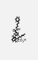 CC=CCC[C@H](C(=O)O)C1[C@H]2CC[C@H](O2)[C@H]1c1nc(C(=O)NCCCCC2CCCCC2)no1